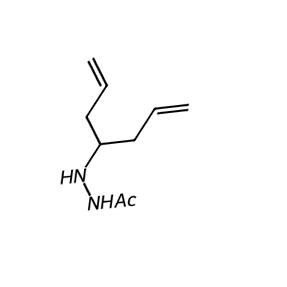 C=CCC(CC=C)NNC(C)=O